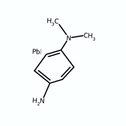 CN(C)c1ccc(N)cc1.[Pb]